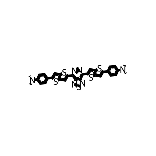 CN(C)c1ccc(-c2cc3sc(-c4nnc(-c5cc6sc(-c7ccc(N(C)C)cc7)cc6s5)c5nsnc45)cc3s2)cc1